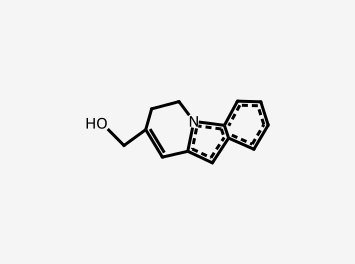 OCC1=Cc2cc3ccccc3n2CC1